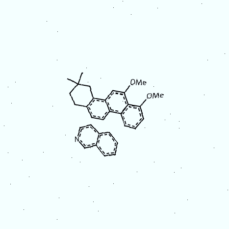 COc1cccc2c1c(OC)cc1c3c(ccc12)CCC(C)(C)C3.c1ccc2cnccc2c1